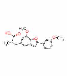 COc1cccc(-c2cc3cc(CC(C)C(=O)O)cc(OC)c3o2)c1